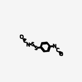 O=C=NSSc1ccc(N=C=O)cc1